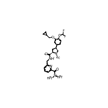 CCCN(CCC)C(=O)c1cccc(CNC(=O)[C@H]2CC(c3ccc(OC(F)F)c(OCC4CC4)c3)CN2C(C)=O)n1